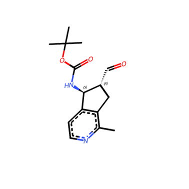 Cc1nccc2c1C[C@@H](C=O)[C@@H]2NC(=O)OC(C)(C)C